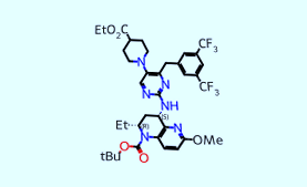 CCOC(=O)C1CCN(c2cnc(N[C@H]3C[C@@H](CC)N(C(=O)OC(C)(C)C)c4ccc(OC)nc43)nc2Cc2cc(C(F)(F)F)cc(C(F)(F)F)c2)CC1